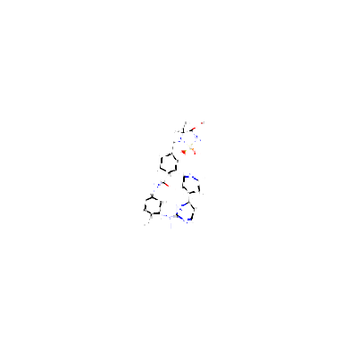 Cc1ccc(NC(=O)c2ccc(CN3C(C)(C)C(=O)NS3(=O)=O)cc2)cc1Nc1nccc(-c2ccncc2)n1